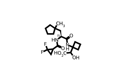 CC1(C[C@H](NC(=O)C2CC2(F)F)C(=O)NC2(C(O)C(=O)O)CCC2)CCCC1